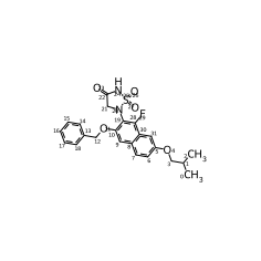 CC(C)COc1ccc2cc(OCc3ccccc3)c(N3CC(=O)NS3(=O)=O)c(F)c2c1